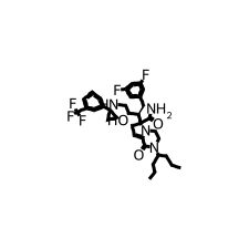 CCCC(CCC)N1CCN2C(=CCC2(C(N)=O)[C@H](Cc2cc(F)cc(F)c2)[C@@H](O)CNC2(c3cccc(C(F)(F)F)c3)CC2)C1=O